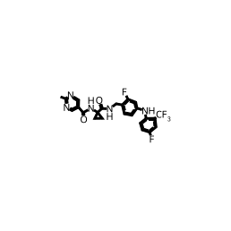 Cc1ncc(C(=O)NC2(C(=O)NCc3ccc(Nc4ccc(F)cc4C(F)(F)F)cc3F)CC2)cn1